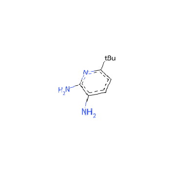 CC(C)(C)c1ccc(N)c(N)n1